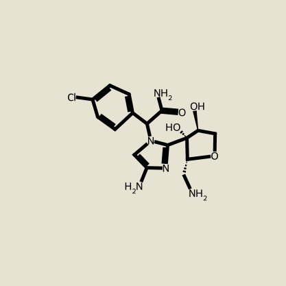 NC[C@H]1OC[C@H](O)[C@]1(O)c1nc(N)cn1C(C(N)=O)c1ccc(Cl)cc1